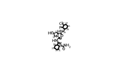 NC(=O)n1cc(NC(=O)N2CC(O)C[C@H]2C(=O)NCc2cccc(Cl)c2F)c2ccccc21